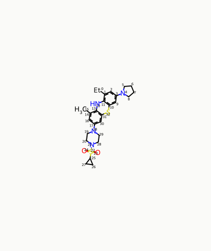 CCc1cc(N2CCCC2)cc2c1Nc1c(C)cc(N3CCN(S(=O)(=O)C4CC4)CC3)cc1S2